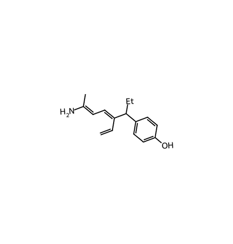 C=C/C(=C\C=C(/C)N)C(CC)c1ccc(O)cc1